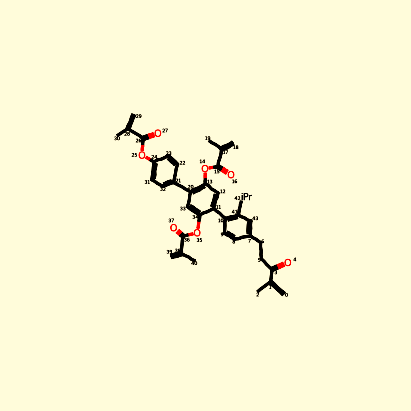 C=C(C)C(=O)CCc1ccc(-c2cc(OC(=O)C(=C)C)c(-c3ccc(OC(=O)C(=C)C)cc3)cc2OC(=O)C(=C)C)c(C(C)C)c1